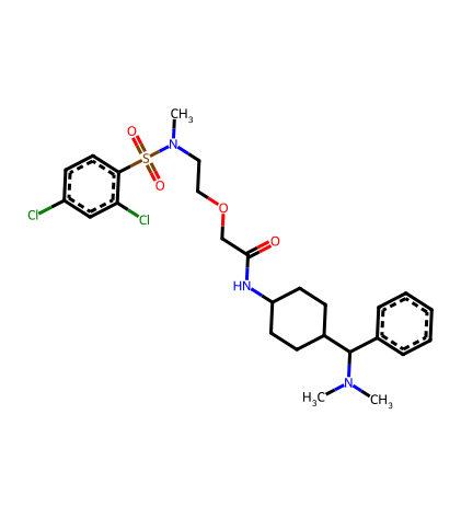 CN(C)C(c1ccccc1)C1CCC(NC(=O)COCCN(C)S(=O)(=O)c2ccc(Cl)cc2Cl)CC1